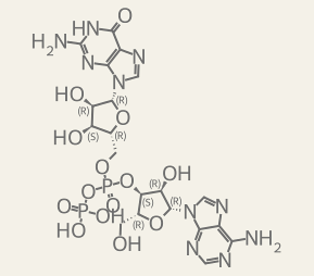 Nc1nc2c(ncn2[C@@H]2O[C@H](COP(=O)(O[C@H]3[C@@H](O)[C@H](n4cnc5c(N)ncnc54)O[C@@H]3CO)OP(=O)(O)O)[C@@H](O)[C@H]2O)c(=O)[nH]1